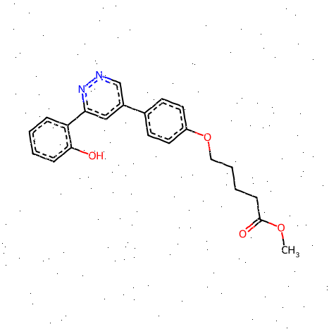 COC(=O)CCCCOc1ccc(-c2cnnc(-c3ccccc3O)c2)cc1